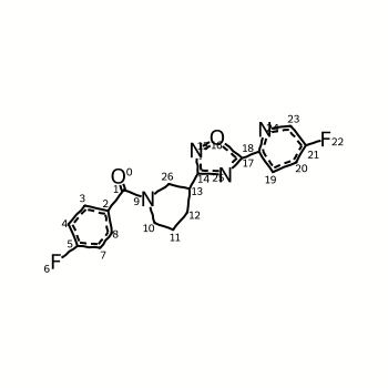 O=C(c1ccc(F)cc1)N1CCCC(c2noc(-c3ccc(F)cn3)n2)C1